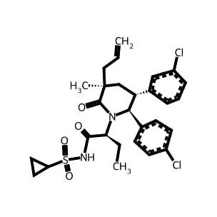 C=CC[C@@]1(C)C[C@H](c2cccc(Cl)c2)[C@@H](c2ccc(Cl)cc2)N([C@@H](CC)C(=O)NS(=O)(=O)C2CC2)C1=O